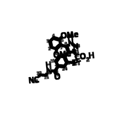 COc1cccc(OC)c1-c1[nH]nc(C(=O)O)c1-c1ccc(C(=O)NCCC#N)cc1C(C)C